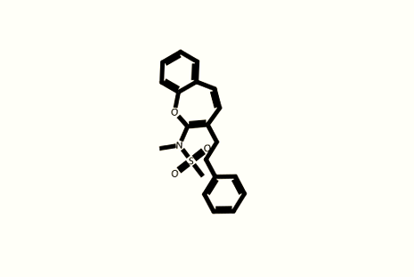 CN(C1=C(CCc2ccccc2)C=Cc2ccccc2O1)S(C)(=O)=O